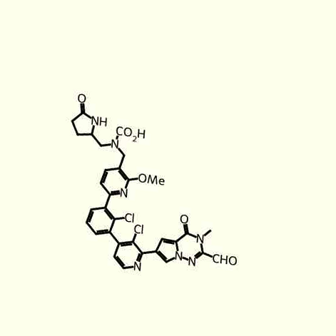 COc1nc(-c2cccc(-c3ccnc(-c4cc5c(=O)n(C)c(C=O)nn5c4)c3Cl)c2Cl)ccc1CN(CC1CCC(=O)N1)C(=O)O